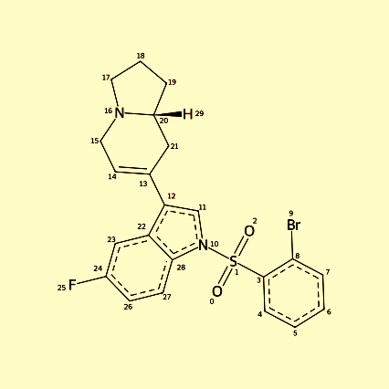 O=S(=O)(c1ccccc1Br)n1cc(C2=CCN3CCC[C@@H]3C2)c2cc(F)ccc21